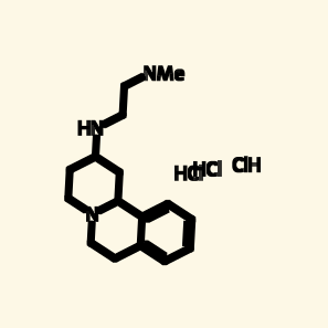 CNCCNC1CCN2CCc3ccccc3C2C1.Cl.Cl.Cl